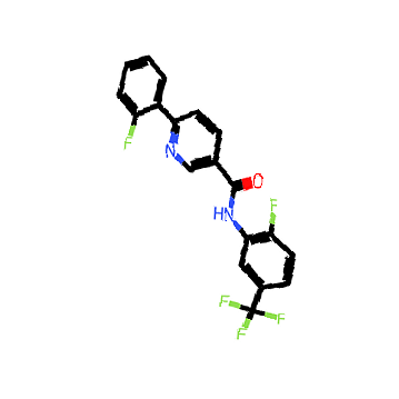 O=C(Nc1cc(C(F)(F)F)ccc1F)c1ccc(-c2ccccc2F)nc1